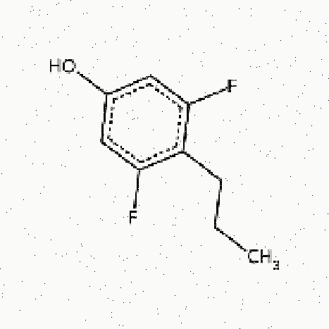 CCCc1c(F)cc(O)cc1F